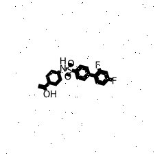 C=C(O)C1CCC(NS(=O)(=O)c2ccc(-c3ccc(F)cc3F)cc2)CC1